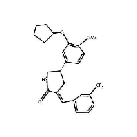 COc1ccc([C@H]2CNC(=O)/C(=C/c3cccc(C(F)(F)F)c3)C2)cc1OC1CCCC1